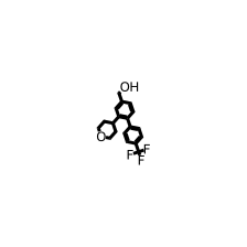 OCc1ccc(-c2ccc(C(F)(F)F)cc2)c(C2CCOCC2)c1